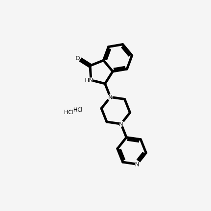 Cl.Cl.O=C1NC(N2CCN(c3ccncc3)CC2)c2ccccc21